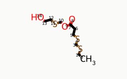 CCSCSCCC(=O)OCSCCO